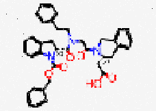 O=C(O)C[C@H]1Cc2ccccc2CN1C(=O)CN(CCc1ccccc1)C(=O)[C@H]1Cc2ccccc2N1C(=O)OCc1ccccc1